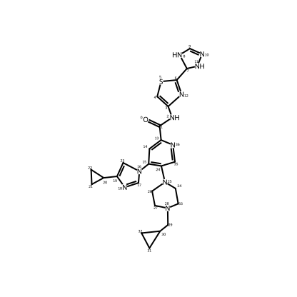 O=C(Nc1csc(C2NC=NN2)n1)c1cc(-n2cnc(C3CC3)c2)c(N2CCN(CC3CC3)CC2)cn1